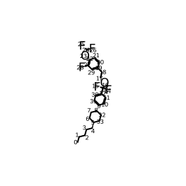 CCCCC[C@H]1CC[C@H](c2ccc(C(F)(F)OCCc3ccc(OC(F)F)c(F)c3)cc2)CC1